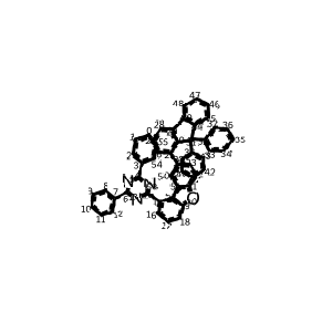 c1ccc(-c2nc(-c3ccccc3)nc(-c3cccc4oc5ccc(-c6cccc7c6C(c6ccccc6)(c6ccccc6)c6ccccc6-7)cc5c34)n2)cc1